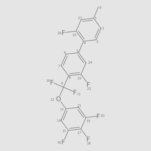 Cc1ccc(-c2ccc(C(F)(F)Oc3cc(F)c(F)c(F)c3)c(F)c2)c(F)c1